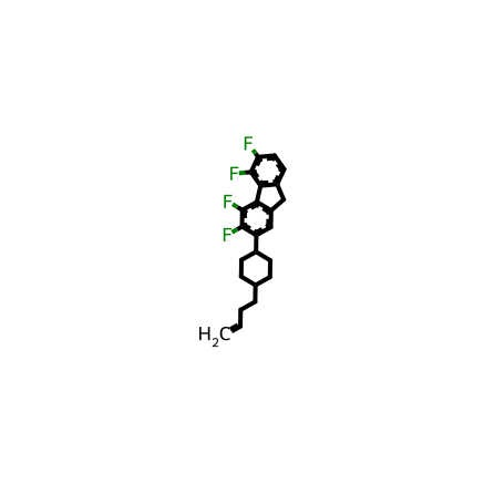 C=CCCC1CCC(c2cc3c(c(F)c2F)-c2c(ccc(F)c2F)C3)CC1